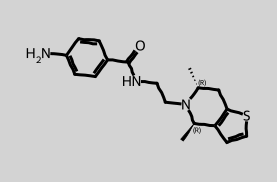 C[C@@H]1Cc2sccc2[C@@H](C)N1CCNC(=O)c1ccc(N)cc1